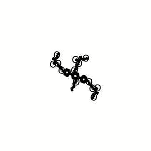 C=C(COC)C(=O)OCCOc1ccc(-c2cc(OCCOC(=O)C(=C)COC)c(-c3ccc(OCCOC(=O)C(=C)COC)cc3)cc2OCCCC)cc1